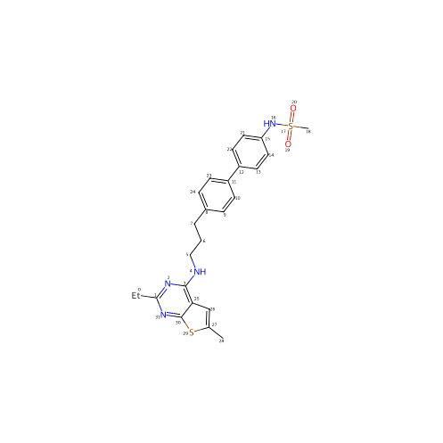 CCc1nc(NCCCc2ccc(-c3ccc(NS(C)(=O)=O)cc3)cc2)c2cc(C)sc2n1